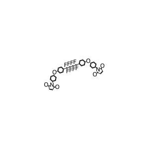 O=C1C=CC(=O)N1c1ccc(Oc2ccc(C(F)(F)C(F)(F)C(F)(F)C(F)(F)c3ccc(Oc4ccc(N5C(=O)C=CC5=O)cc4)cc3)cc2)cc1